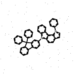 c1ccc(-n2ccc3ccc4c(c5ccccc5n4-c4ccc5c(c4)C(c4ccccc4)(c4ccccc4)c4ccccc4-5)c32)cc1